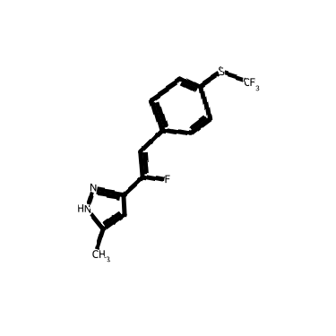 Cc1cc(/C(F)=C/c2ccc(SC(F)(F)F)cc2)n[nH]1